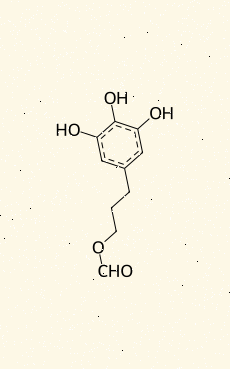 O=COCCCc1cc(O)c(O)c(O)c1